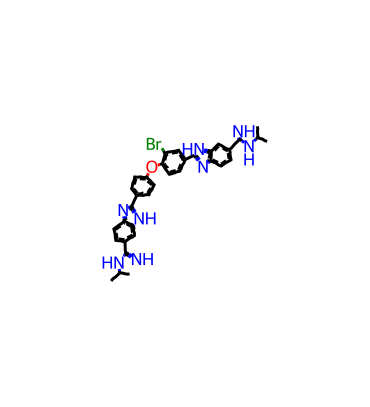 CC(C)NC(=N)c1ccc2nc(-c3ccc(Oc4ccc(-c5nc6ccc(C(=N)NC(C)C)cc6[nH]5)cc4Br)cc3)[nH]c2c1